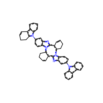 C1=Cc2c(n(-c3ccc4c(c3)nc3c5c(n6c(nc7cc(-n8c9ccccc9c9ccccc98)ccc76)c6c(n34)CCC=C6)CCC=C5)c3ccccc23)CC1